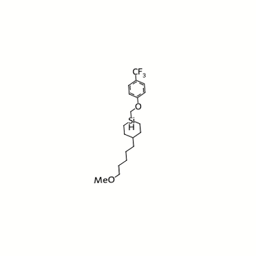 COCCCCCC1CC[SiH](COc2ccc(C(F)(F)F)cc2)CC1